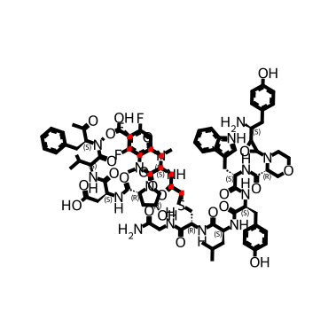 CCCC[C@@H](C(=O)N1C[C@H](O)C[C@@H]1C(=O)N[C@@H](CC(=O)O)C(=O)N[C@H](C(=O)N(C)[C@@H](Cc1ccccc1)C(C)=O)C(C)C)N(C)C(=O)C(CCC(=O)O)N(C)C(=O)[C@H](Cc1cc(F)c(F)c(F)c1)NC(=O)CSC[C@H](NC(=O)[C@H](CC(C)C)NC(=O)[C@H](Cc1ccc(O)cc1)NC(=O)[C@H](Cc1c[nH]c2ccccc12)NC(=O)[C@H]1COCCN1C1OC1[C@@H](N)Cc1ccc(O)cc1)C(=O)NCC(N)=O